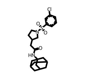 O=C(CC1CCN(S(=O)(=O)c2cccc(Cl)c2)C1)NC12CC3CC(CC(C3)C1)C2